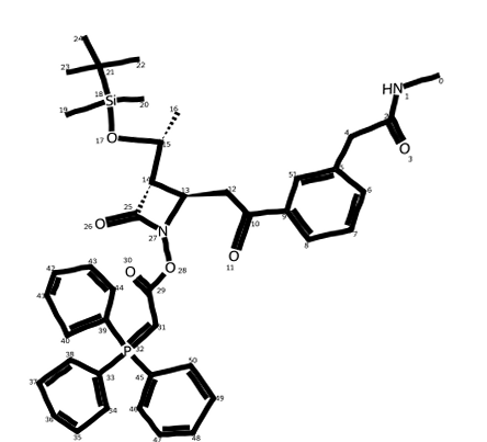 CNC(=O)Cc1cccc(C(=O)C[C@@H]2[C@@H]([C@@H](C)O[Si](C)(C)C(C)(C)C)C(=O)N2OC(=O)C=P(c2ccccc2)(c2ccccc2)c2ccccc2)c1